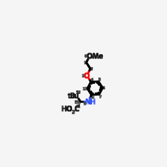 COCCOc1cccc(N[C@H](C(=O)O)C(C)(C)C)c1